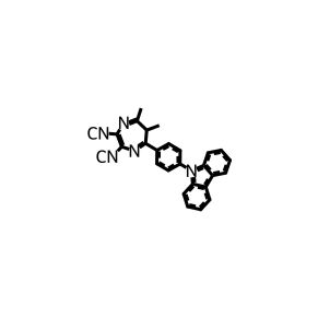 [C-]#[N+]C1=C([N+]#[C-])N=C(c2ccc(-n3c4ccccc4c4ccccc43)cc2)C(C)C(C)=N1